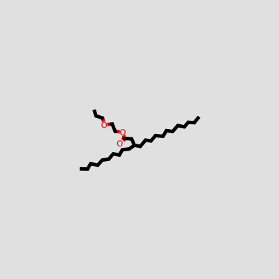 CCCCCCCCCCCCC(CCCCCCCCCC)CC(=O)OCCOCCC